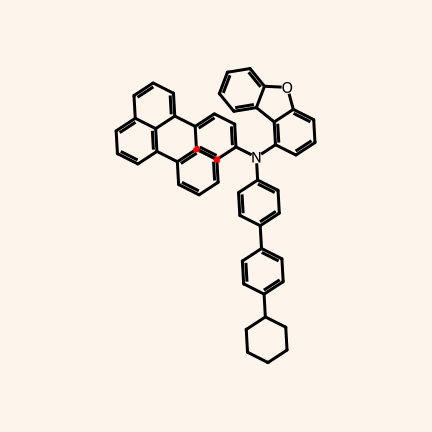 c1ccc(-c2cccc3cccc(-c4ccc(N(c5ccc(-c6ccc(C7CCCCC7)cc6)cc5)c5cccc6oc7ccccc7c56)cc4)c23)cc1